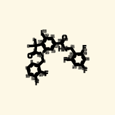 CC1(C)C(=O)N(Cc2cccc(F)c2F)c2cc(C(=O)NCc3c(F)cc(F)cc3F)cc(I)c21